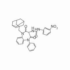 O=C(Nc1cccc([N+](=O)[O-])c1)NC1C(=O)N(CC23CC4CC(CC(C4)C2)C3)c2ccccc2N(c2ccccc2)C1=O